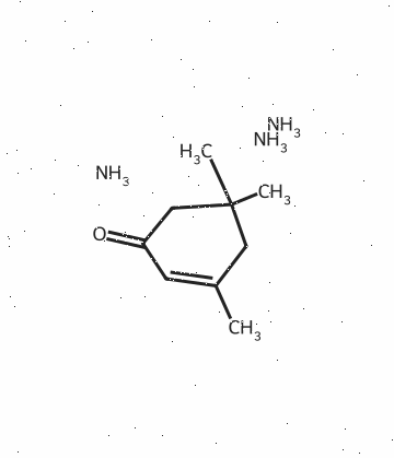 CC1=CC(=O)CC(C)(C)C1.N.N.N